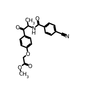 COC(=O)COc1ccc(C(=O)C(C)NC(=O)c2ccc(C#N)cc2)cc1